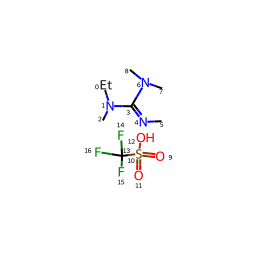 CCN(C)C(=NC)N(C)C.O=S(=O)(O)C(F)(F)F